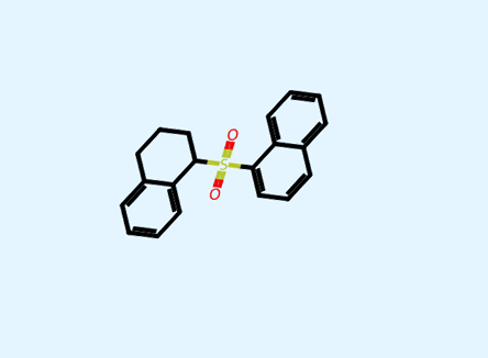 O=S(=O)(c1cccc2ccccc12)C1CCCc2ccccc21